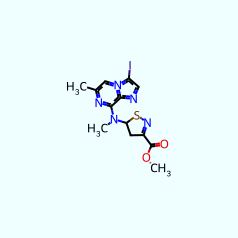 COC(=O)C1=NSC(N(C)c2nc(C)cn3c(I)cnc23)C1